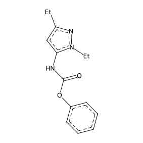 CCc1cc(NC(=O)Oc2ccccc2)n(CC)n1